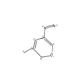 CC1=CC(N=[N])=COC1